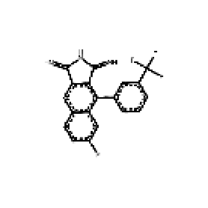 N=C1NC(=N)c2c1cc1ccc(F)cc1c2-c1cccc(C(F)(F)F)c1